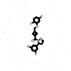 O=C(N1N=CCC1c1cc(F)cc(F)c1)C12CC(COc3cc(F)ccc3F)(C1)C2